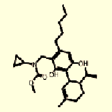 C=C(C)C1CCC(C)=CC1c1c(O)cc(CCCCC)c(CN(C(=O)OC)C2CC2)c1O